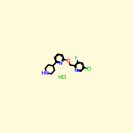 Cl.Fc1cc(Cl)cnc1COc1cccc(C2CCNCC2)n1